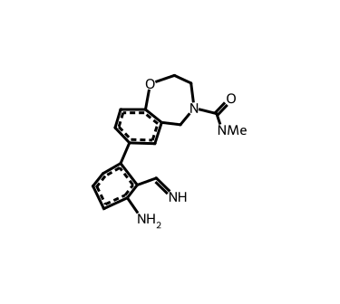 CNC(=O)N1CCOc2ccc(-c3cccc(N)c3C=N)cc2C1